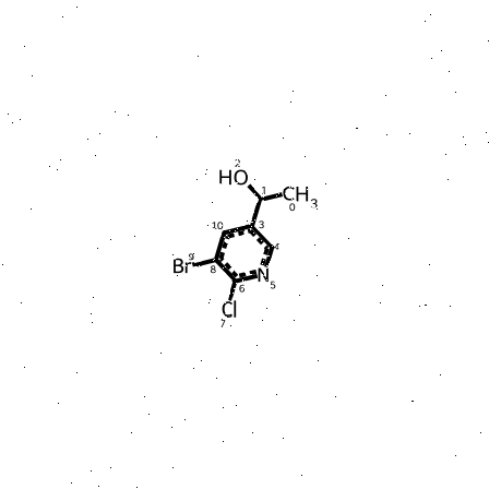 CC(O)c1cnc(Cl)c(Br)c1